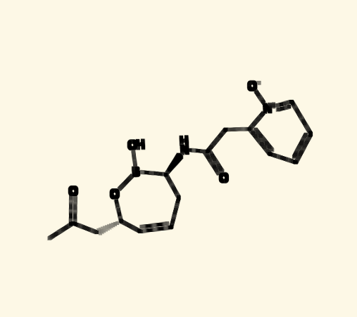 CC(=O)C[C@H]1C=CC[C@H](NC(=O)Cc2cccc[n+]2[O-])B(O)O1